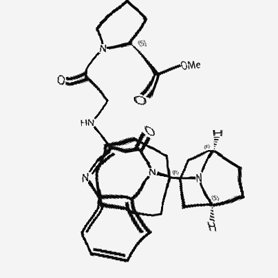 COC(=O)[C@@H]1CCCN1C(=O)CNc1nc2ccccc2n([C@H]2C[C@H]3CC[C@@H](C2)N3C2CCCCCCC2)c1=O